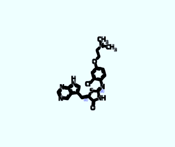 CN(C)CCOc1ccc(/N=C2/NC(=O)/C(=C/c3c[nH]c4ncncc34)S2)c(Cl)c1